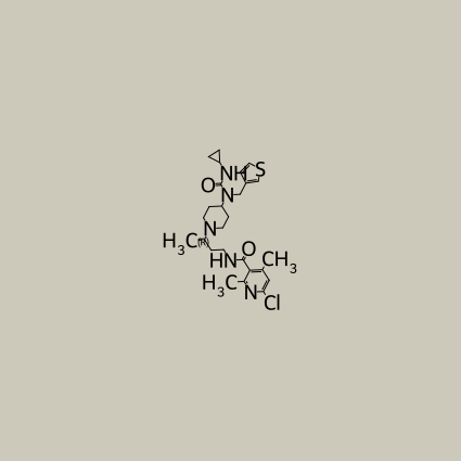 Cc1cc(Cl)nc(C)c1C(=O)NCC[C@@H](C)N1CCC(N(Cc2ccsc2)C(=O)NC2CC2)CC1